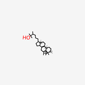 CC(CCCC1CCC2C3=C(CC[C@]12C)[C@@]1(C)CC[C@H](C)C(C)(C)[C@@H]1CC3)C(C)(C)O